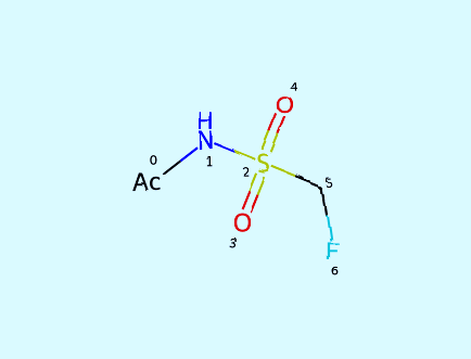 CC(=O)NS(=O)(=O)CF